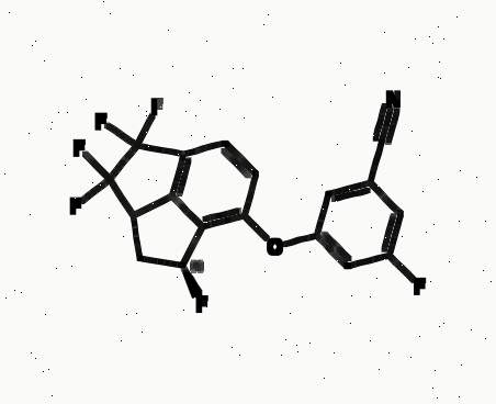 N#Cc1cc(F)cc(Oc2ccc3c4c2[C@@H](F)CC4C(F)(F)C3(F)F)c1